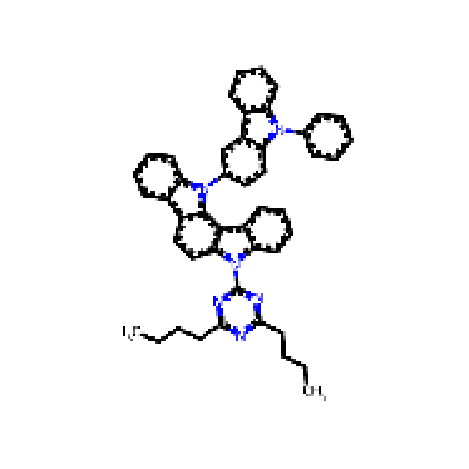 CCCCc1nc(CCCC)nc(-n2c3ccccc3c3c2ccc2c4ccccc4n(-c4ccc5c(c4)c4ccccc4n5-c4ccccc4)c23)n1